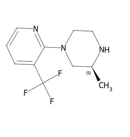 C[C@H]1CN(c2ncccc2C(F)(F)F)CCN1